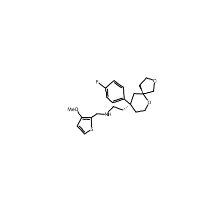 COc1ccsc1CNCC[C@@]1(c2ccc(F)cc2)CCO[C@]2(CCOC2)C1